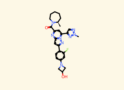 C[C@@H]1CCCCCN1C(=O)c1cc(-c2cnn(C)n2)n2nc(-c3ccc(N4CC(O)C4)cc3F)cc2n1